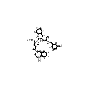 O=C[C@H](CCC(=O)N1CCNc2ccccc2C1)NC(=O)[C@H](CC1CCCCC1)NC(=O)OCc1cccc(Cl)c1